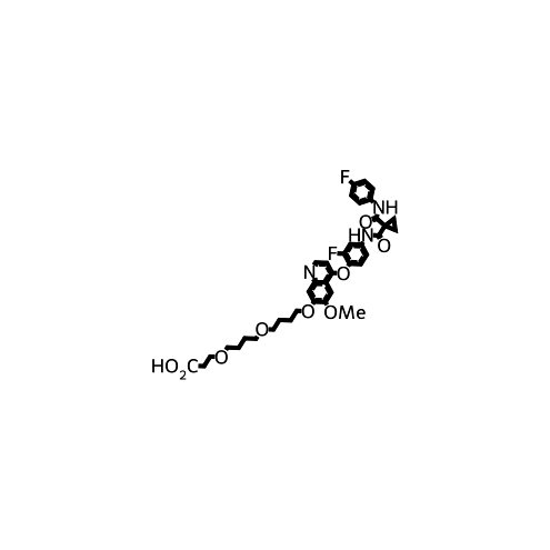 COc1cc2c(Oc3ccc(NC(=O)C4(C(=O)Nc5ccc(F)cc5)CC4)cc3F)ccnc2cc1OCCCCOCCCCOCCC(=O)O